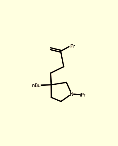 C=C(CCC1(CCCC)CCN(C(C)C)C1)C(C)C